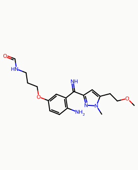 COCCc1cc(C(=N)c2cc(OCCCNC=O)ccc2N)nn1C